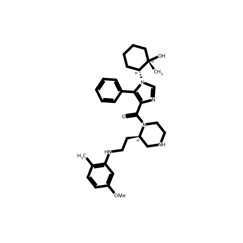 COc1ccc(C)c(NCC[C@@H]2CNCCN2C(=O)c2ncn([C@@H]3CCCC[C@]3(C)O)c2-c2ccccc2)c1